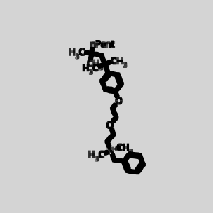 CCCCCC(C)(C)CC(C)(C)c1ccc(OCCOCC[N+](C)(C)Cc2ccccc2)cc1